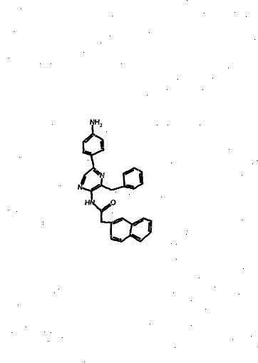 Nc1ccc(-c2cnc(NC(=O)Cc3ccc4ccccc4c3)c(Cc3ccccc3)n2)cc1